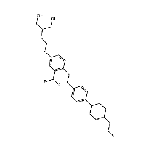 CCCC1CCC(c2ccc(CCc3ccc(CCCC(CO)CO)cc3C(F)F)cc2)CC1